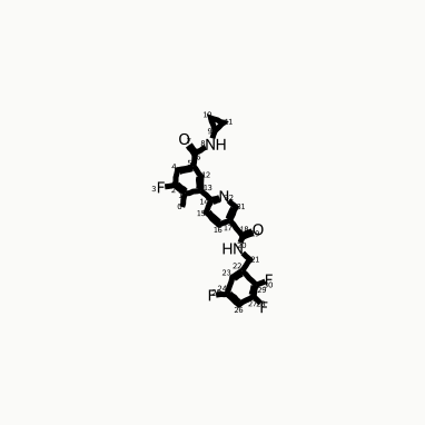 Cc1c(F)cc(C(=O)NC2CC2)cc1-c1ccc(C(=O)NCc2cc(F)cc(F)c2F)cn1